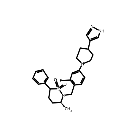 C[C@H]1CCC(c2ccccc2)S(=O)(=O)N1Cc1ccc(N2CCC(c3cn[nH]c3)CC2)cc1F